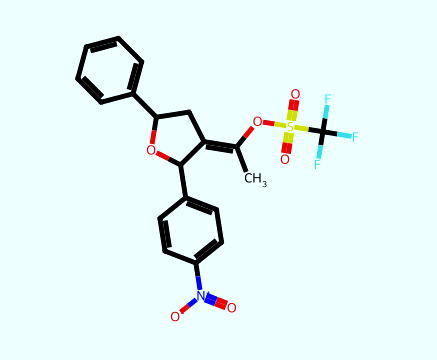 CC(OS(=O)(=O)C(F)(F)F)=C1CC(c2ccccc2)OC1c1ccc([N+](=O)[O-])cc1